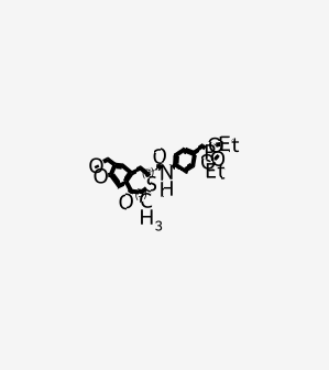 CCOP(=O)(Cc1ccc(NC(=O)[C@H]2Cc3cc4c(cc3C(=O)[C@H](C)S2)OOC4)cc1)OCC